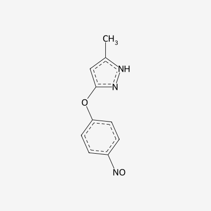 Cc1cc(Oc2ccc(N=O)cc2)n[nH]1